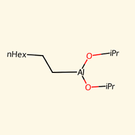 CCCCCCC[CH2][Al]([O]C(C)C)[O]C(C)C